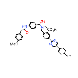 COc1ccc(CC(=O)Nc2ccc(C(O)N(CC(=O)O)Cc3ccc(-c4ncc(C5=CCC(C(C)C)CC5)cn4)cc3)cc2)cc1